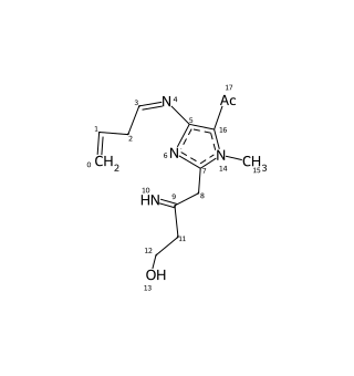 C=CC/C=N\c1nc(CC(=N)CCO)n(C)c1C(C)=O